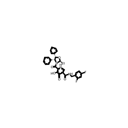 CC[C@@H]1O[C@@H](c2ccccc2)[C@@H](c2ccccc2)N1C(=O)c1[nH]cc(C(=O)NCc2ccc(F)cc2F)c(=O)c1O